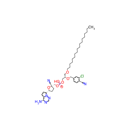 CCCCCCCCCCCCCCCCCCOC[C@H](COP(=O)(O)OC[C@]1(C#N)CC[C@H](c2ccc3c(N)ncnn23)O1)OCc1ccc(C#N)c(Cl)c1